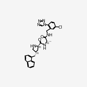 C[C@H](NC(=O)[C@H]1C[C@H](Cc2cccc3ccccc23)CN1)C(=O)NCc1cc(Cl)ccc1-n1cnnn1